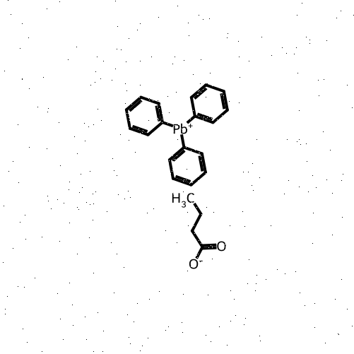 CCCC(=O)[O-].c1cc[c]([Pb+]([c]2ccccc2)[c]2ccccc2)cc1